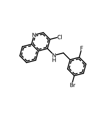 Fc1ccc(Br)cc1CNc1c(Cl)cnc2ccccc12